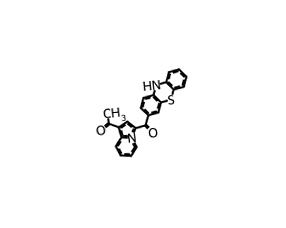 CC(=O)c1cc(C(=O)c2ccc3c(c2)Sc2ccccc2N3)n2ccccc12